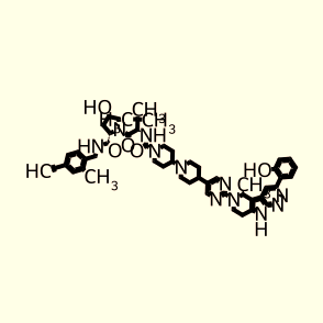 C#Cc1ccc(CNC(=O)[C@@H]2C[C@@H](O)CN2C(=O)[C@@H](NC(=O)N2CCC(N3CCC(c4cnc(N5CCc6[nH]c7nnc(-c8ccccc8O)cc7c6[C@H]5C)nc4)CC3)CC2)C(C)(C)C)c(C)c1